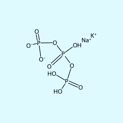 O=P([O-])([O-])OP(=O)(O)OP(=O)(O)O.[K+].[Na+]